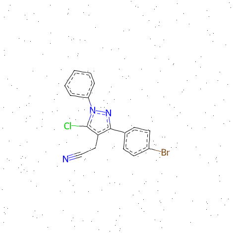 N#CCc1c(-c2ccc(Br)cc2)nn(-c2ccccc2)c1Cl